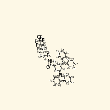 O=C(NCC(F)(F)C(F)(F)C(F)(F)C(F)(F)C(F)(F)C(F)(F)F)c1cc(-n2c3ccccc3c3ccccc32)cc(-n2c3ccccc3c3ccccc32)c1